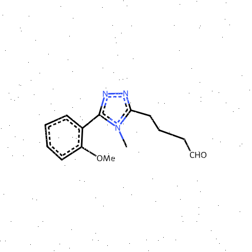 COc1ccccc1-c1nnc(CCCC=O)n1C